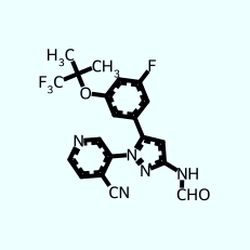 CC(C)(Oc1cc(F)cc(-c2cc(NC=O)nn2-c2cnccc2C#N)c1)C(F)(F)F